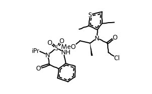 CC(C)N1C(=O)c2ccccc2NS1(=O)=O.COC[C@H](C)N(C(=O)CCl)c1c(C)csc1C